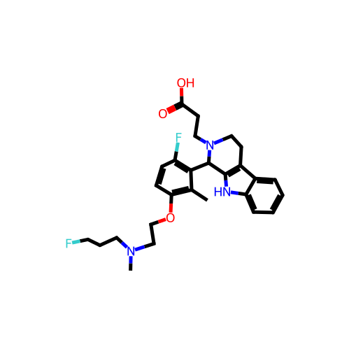 Cc1c(OCCN(C)CCCF)ccc(F)c1C1c2[nH]c3ccccc3c2CCN1CCC(=O)O